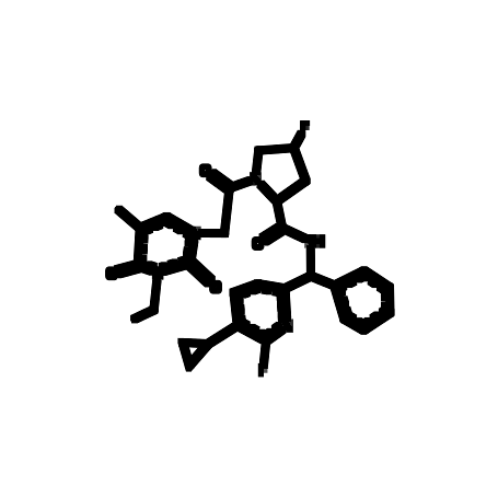 CCn1c(=O)c(C)cn(CC(=O)N2CC(F)CC2C(=O)NC(c2ccccc2)c2ccc(C3CC3)c(F)n2)c1=O